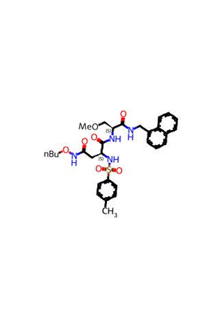 CCCCONC(=O)C[C@H](NS(=O)(=O)c1ccc(C)cc1)C(=O)N[C@@H](COC)C(=O)NCc1cccc2ccccc12